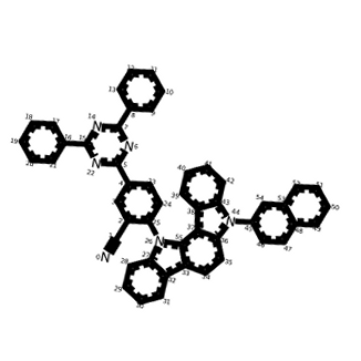 N#Cc1cc(-c2nc(-c3ccccc3)nc(-c3ccccc3)n2)ccc1-n1c2ccccc2c2ccc3c(c4ccccc4n3-c3ccc4ccccc4c3)c21